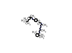 C=C[C@](C)(/C=C/c1ccc(OC(=O)\C=C(C)/C=C/C=C(C)/C=C/C2=C(C)CCCC2(C)C)cc1)CCC=C(C)C